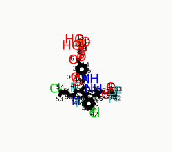 COc1cc(C(=O)OCOP(=O)(O)O)ccc1NC(=O)[C@@H]1N[C@@H](CC(C)(C)COC(=O)C(F)(F)F)[C@](C#N)(c2ccc(Cl)cc2F)[C@H]1C(F)/C=C\C=C(/C)Cl